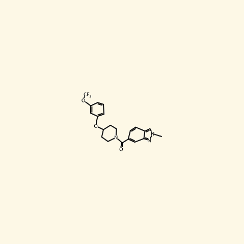 Cn1cc2ccc(C(=O)N3CCC(Oc4cccc(OC(F)(F)F)c4)CC3)cc2n1